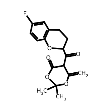 C=C1OC(C)(C)OC(=O)C1C(=O)C1CCc2cc(F)ccc2O1